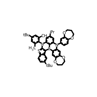 Cc1cc(C(C)(C)C)cc(C)c1N1c2cc(C(C)C)cc3c2B(c2cc4c(cc2N3c2ccc3c(c2)OCCCO3)OCCCO4)c2c1sc1ccc(C(C)(C)C)cc21